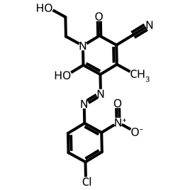 Cc1c(N=Nc2ccc(Cl)cc2[N+](=O)[O-])c(O)n(CCO)c(=O)c1C#N